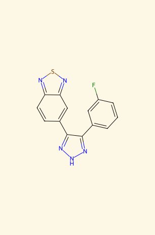 Fc1cccc(-c2n[nH]nc2-c2ccc3nsnc3c2)c1